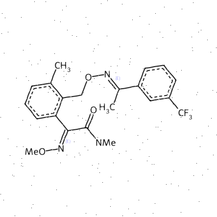 CNC(=O)/C(=N/OC)c1cccc(C)c1CO/N=C(\C)c1cccc(C(F)(F)F)c1